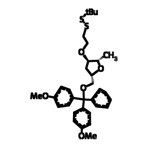 COc1ccc(C(OC[C@@H]2C[C@@H](OCCSSC(C)(C)C)[C@H](C)O2)(c2ccccc2)c2ccc(OC)cc2)cc1